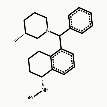 CC(C)N[C@@H]1CCCc2c(C(c3ccccc3)N3CCC[C@@H](C)C3)cccc21